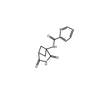 O=C(NC12CC(C1)C(=O)NC2=O)c1ccccn1